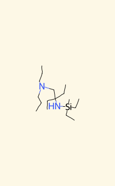 CCCN(CCC)CC(CC)(CC)N[Si](C)(CC)CC